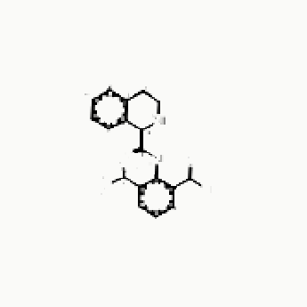 CC(C)c1cccc(C(C)C)c1NC(=O)C1NCCc2ccccc21